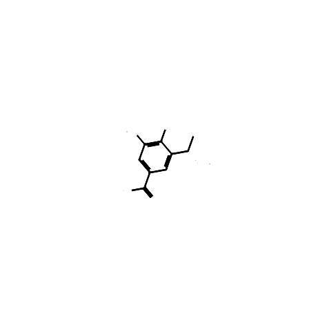 CN[C@@H](C)c1cc(C(=O)OC)cc(C=O)c1O